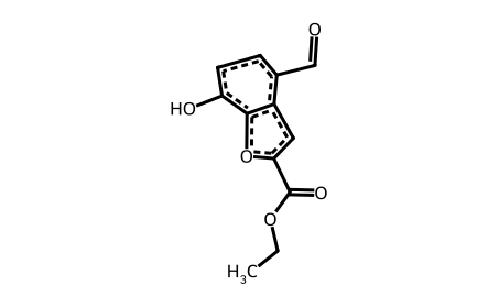 CCOC(=O)c1cc2c(C=O)ccc(O)c2o1